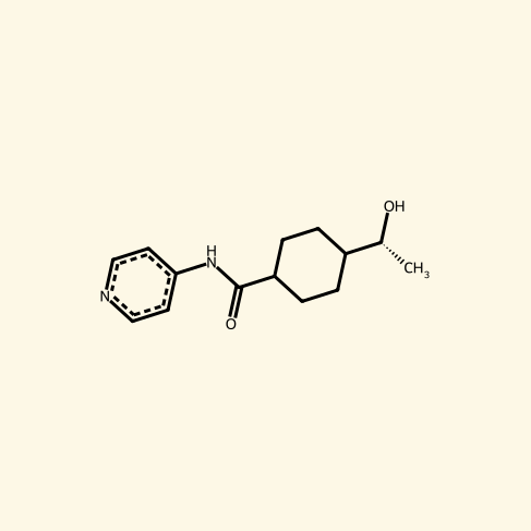 C[C@@H](O)C1CCC(C(=O)Nc2ccncc2)CC1